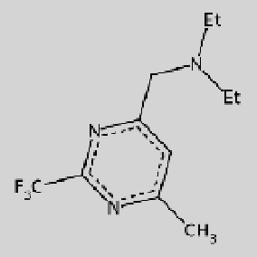 CCN(CC)Cc1cc(C)nc(C(F)(F)F)n1